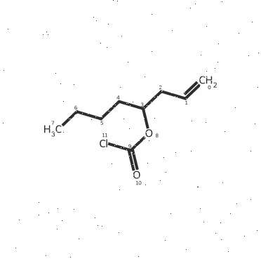 C=CCC(CCCC)OC(=O)Cl